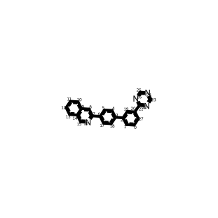 c1cc(-c2ccc(-c3cc4ccccc4cn3)cc2)cc(-c2ncncn2)c1